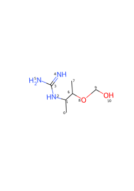 CC(NC(=N)N)C(C)OCO